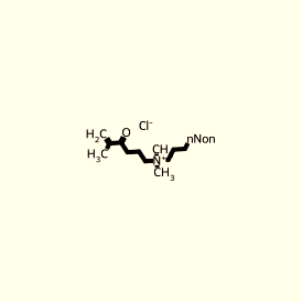 C=C(C)C(=O)CCC[N+](C)(C)CCCCCCCCCCCC.[Cl-]